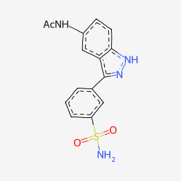 CC(=O)Nc1ccc2[nH]nc(-c3cccc(S(N)(=O)=O)c3)c2c1